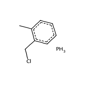 Cc1ccccc1CCl.P